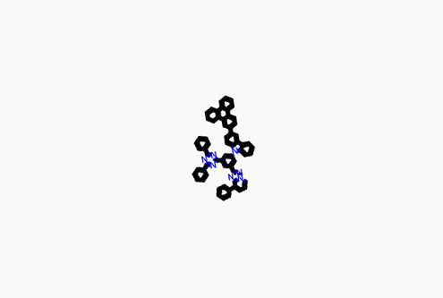 C1=Cc2c(c3cc(-c4ccc5c(c4)c4ccccc4n5-c4cc(-c5nc(-c6ccccc6)nc(-c6ccccc6)n5)cc(-c5nc6c(-c7ccccc7)cccn6n5)c4)ccc3c3ccccc23)CC1